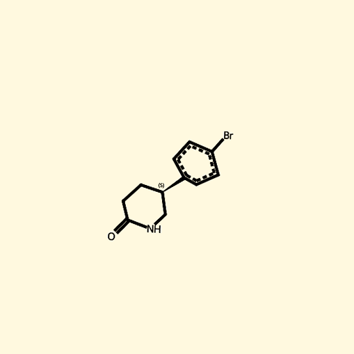 O=C1CC[C@@H](c2ccc(Br)cc2)CN1